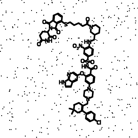 CC1(C)CCC(CN2CCN(c3ccc(C(=O)NS(=O)(=O)c4ccc(NCC5CCCN(C(=O)CCCCSc6cccc7c6C(=O)N(C6CCC(=O)NC6=O)C7=O)C5)c([N+](=O)[O-])c4)c(Oc4cnc5[nH]ccc5c4)c3)CC2)=C(c2ccc(Cl)cc2)C1